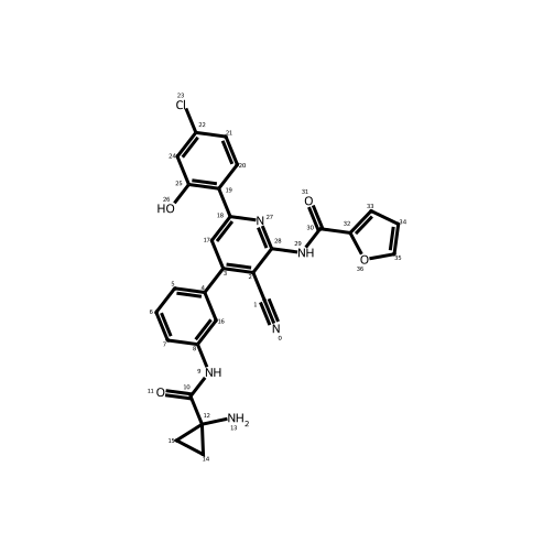 N#Cc1c(-c2cccc(NC(=O)C3(N)CC3)c2)cc(-c2ccc(Cl)cc2O)nc1NC(=O)c1ccco1